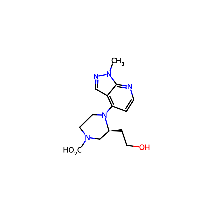 Cn1ncc2c(N3CCN(C(=O)O)C[C@@H]3CCO)ccnc21